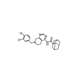 O=C(Nc1ncnc2c1CCN(Cc1ccc(Cl)c(Cl)c1)C2)C12CC3CC(CC(C3)C1)C2